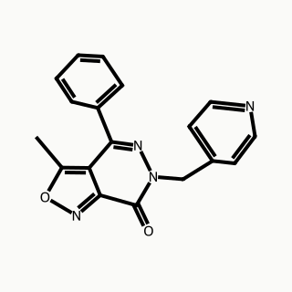 Cc1onc2c(=O)n(Cc3ccncc3)nc(-c3ccccc3)c12